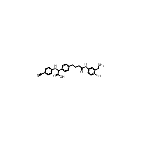 N#Cc1ccc(NC(C(=O)O)c2ccc(CCCC(=O)Nc3ccc(S)c(CN)c3)cc2)cc1